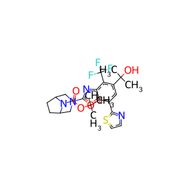 CC(C)(C)OC(=O)N1C2CCC1CN(c1nc3c(C(F)(F)F)c(C(C)(C)O)cc(-c4nccs4)c3o1)C2